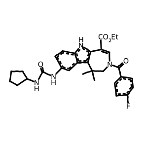 CCOC(=O)C1=CN(C(=O)c2ccc(F)cc2)CC(C)(C)c2c1[nH]c1ccc(NC(=O)NC3CCCC3)cc21